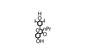 CCCc1c(-c2cc(I)c(O)c(I)c2)oc2ccc(O)cc2c1=O